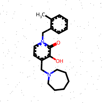 Cc1ccccc1Cn1ccc(CN2CCCCCC2)c(O)c1=O